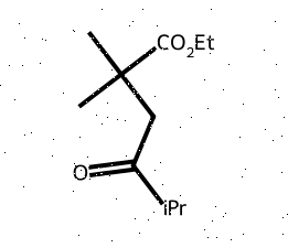 CCOC(=O)C(C)(C)CC(=O)C(C)C